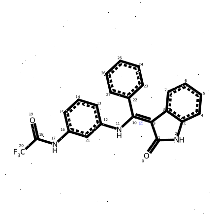 O=C1Nc2ccccc2/C1=C(/Nc1cccc(NC(=O)C(F)(F)F)c1)c1ccccc1